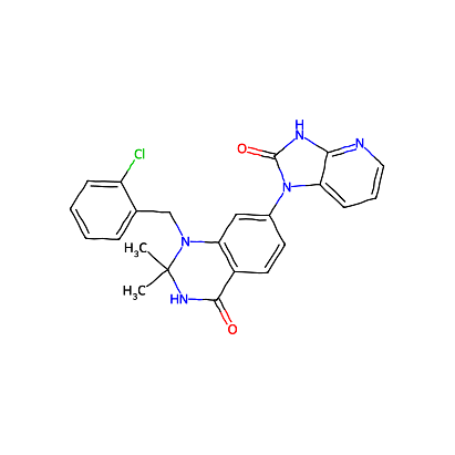 CC1(C)NC(=O)c2ccc(-n3c(=O)[nH]c4ncccc43)cc2N1Cc1ccccc1Cl